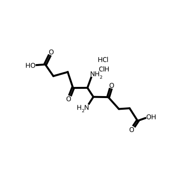 Cl.Cl.NC(C(=O)CCC(=O)O)C(N)C(=O)CCC(=O)O